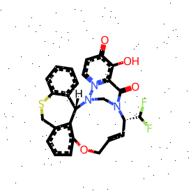 O=C1c2c(O)c(=O)ccn2N2CN1[C@H](C(F)F)/C=C/COc1cccc3c1[C@@H]2c1ccccc1SC3